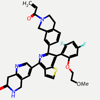 C=CC(=O)N1CCc2ccc(-c3nc(-c4cnc5c(c4)CNC(=O)C5)c4ccsc4c3-c3c(F)cc(F)cc3OCCOC)cc2C1